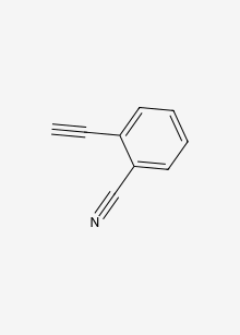 C#Cc1ccccc1C#N